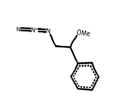 COC(CN=[N+]=[N-])c1ccccc1